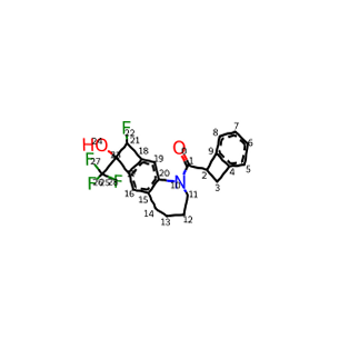 O=C(C1Cc2ccccc21)N1CCCCc2cc3c(cc21)C(F)C3(O)C(F)(F)F